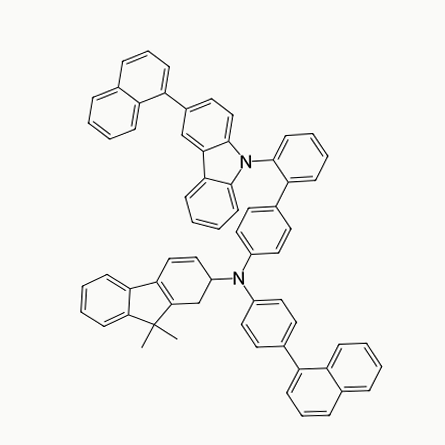 CC1(C)C2=C(C=CC(N(c3ccc(-c4ccccc4-n4c5ccccc5c5cc(-c6cccc7ccccc67)ccc54)cc3)c3ccc(-c4cccc5ccccc45)cc3)C2)c2ccccc21